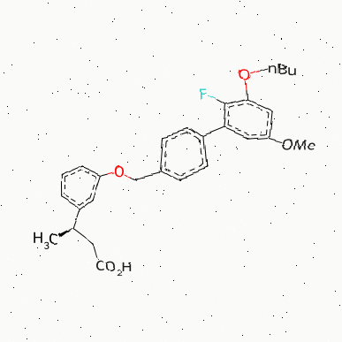 CCCCOc1cc(OC)cc(-c2ccc(COc3cccc([C@H](C)CC(=O)O)c3)cc2)c1F